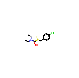 CCN(CC)C(O)=[SH]Cc1ccc(Cl)cc1